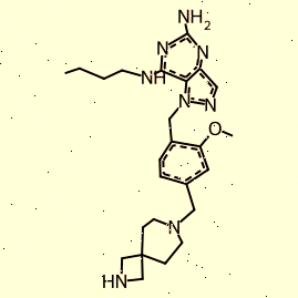 CCCCNc1nc(N)nc2cnn(Cc3ccc(CN4CCC5(CC4)CNC5)cc3OC)c12